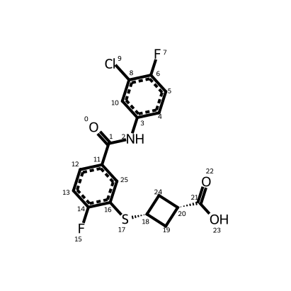 O=C(Nc1ccc(F)c(Cl)c1)c1ccc(F)c(S[C@H]2C[C@@H](C(=O)O)C2)c1